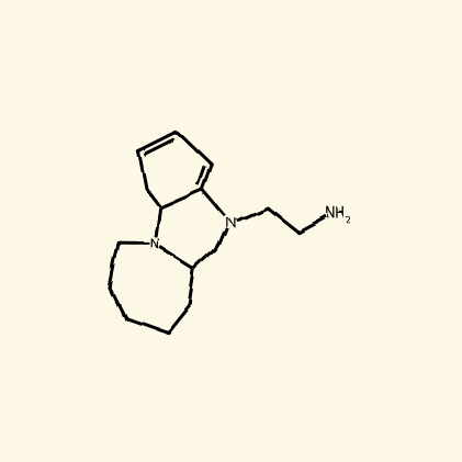 NCCN1CC2CCCCCN2C2CC=CC=C21